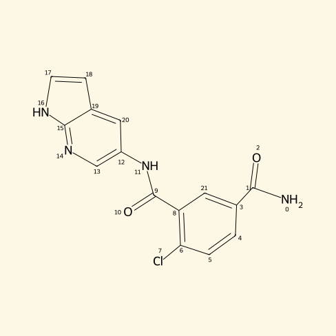 NC(=O)c1ccc(Cl)c(C(=O)Nc2cnc3[nH]ccc3c2)c1